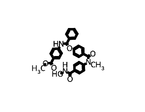 CN(C(=O)c1ccccc1)c1ccc(C(=O)NO)cc1.COC(=O)c1ccc(NC(=O)c2ccccc2)cc1